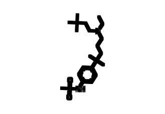 CCN(CCCC(C)(C)c1ccc(NS(C)(=O)=O)cc1)CCC(C)(C)C